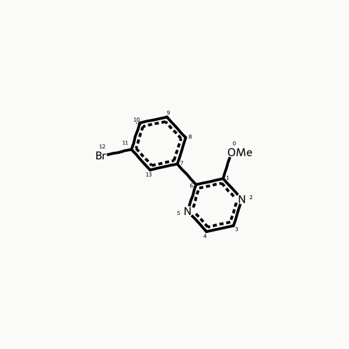 COc1nccnc1-c1cc[c]c(Br)c1